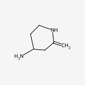 C=C1CC(N)CCN1